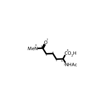 CNC(=O)CCCC(NC(C)=O)C(=O)O